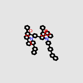 c1ccc(-c2cc(-c3ccc(-c4cccc5c4oc4ccccc45)c(N(c4ccc(-c5ccc6ccccc6c5)cc4)c4ccccc4-c4ccccc4)c3)ccc2N(c2ccc(-c3ccc(-c4ccc5ccccc5c4)cc3)cc2)c2ccccc2-c2cccc3c2oc2ccccc23)cc1